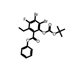 CCc1c(F)c(Br)c(Br)c(OC(=O)OC(C)(C)C)c1C(=O)Oc1ccccc1